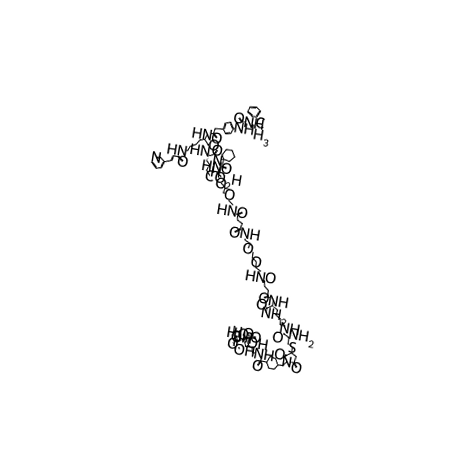 Cc1ccccc1NC(=O)Nc1ccc(CC(=O)NC(CCCCNC(=O)/C=C/c2cccnc2)C(=O)N[C@@H](CCCC(=O)O)C(=O)NC2(C(=O)NCCOCCOCCNC(=O)CCC(=O)NCCOCCOCCNC(=O)CCC(=O)N[C@@H](CCCCNC(=O)[C@H](N)CSC3CC(=O)N(CC4CCC(C(=O)NCCCC(O)(P(=O)(O)O)P(=O)(O)O)CC4)C3=O)C(N)=O)CCCCC2)cc1